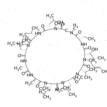 C/C=C/C[C@@H](C)C(O)[C@H]1C(=O)N[C@@H](CC)C(=O)N(C)CC(=O)N(C)[C@@H](CC(C)C)C(=O)N[C@@H](C(C)C)C(=O)N(C)[C@@H](CC(C)C)C(=O)N[C@@H](C)C(=O)N[C@H](C)C(=O)N(C)[C@@H](CC(C)C)C(=O)N(C)[C@@H](CC(C)C)C(=O)N(C)[C@@H](C(C)C)C(=O)N1C